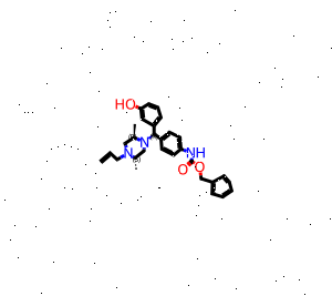 C=CCN1C[C@@H](C)N([C@H](c2ccc(NC(=O)OCc3ccccc3)cc2)c2cccc(O)c2)C[C@@H]1C